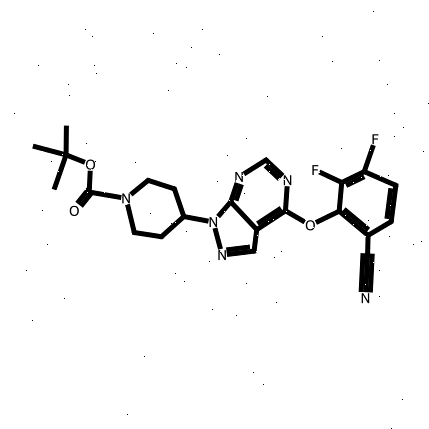 CC(C)(C)OC(=O)N1CCC(n2ncc3c(Oc4c(C#N)ccc(F)c4F)ncnc32)CC1